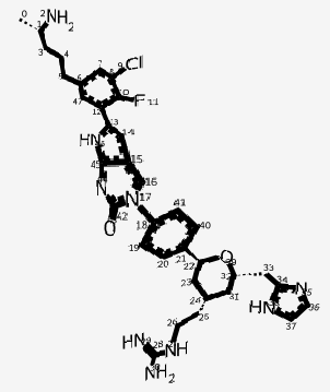 C[C@H](N)CCCc1cc(Cl)c(F)c(-c2cc3cn(-c4ccc([C@@H]5C[C@@H](CCNC(=N)N)C[C@@H](Cc6ncc[nH]6)O5)cc4)c(=O)nc3[nH]2)c1